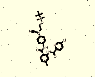 Cc1ccc(C(=O)Nc2ccc(N(C#N)CCO[Si](C)(C)C(C)(C)C)cc2)c(NC(=O)c2ccc(Cl)cn2)c1